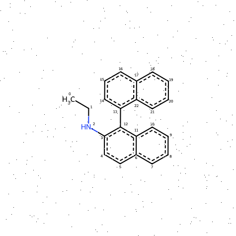 CCNc1ccc2ccccc2c1-c1cccc2ccccc12